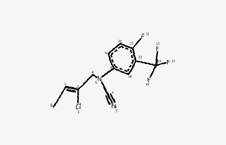 CC=C(Cl)CN(C#N)c1ccc(F)c(C(F)(F)F)c1